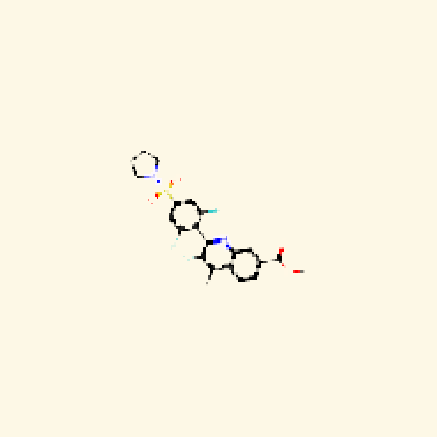 COC(=O)c1ccc2c(C)c(F)c(-c3c(F)cc(S(=O)(=O)N4CCC[C@@H]4C)cc3F)nc2c1